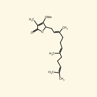 COC1=C(C)C(=O)OC1C/C=C(\C)CC/C=C(\C)CCC=C(C)C